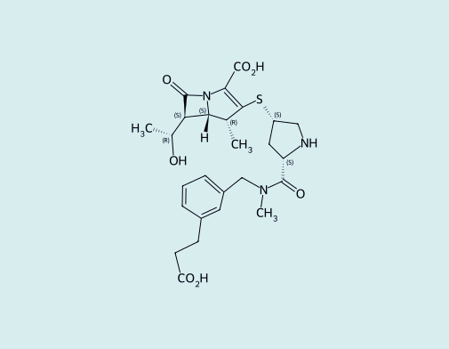 C[C@@H](O)[C@H]1C(=O)N2C(C(=O)O)=C(S[C@@H]3CN[C@H](C(=O)N(C)Cc4cccc(CCC(=O)O)c4)C3)[C@H](C)[C@H]12